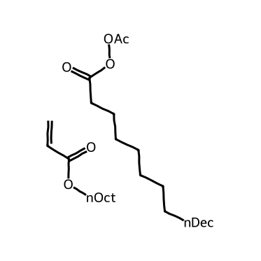 C=CC(=O)OCCCCCCCC.CCCCCCCCCCCCCCCCCC(=O)OOC(C)=O